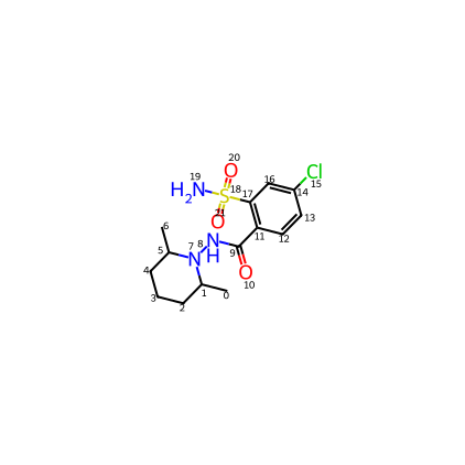 CC1CCCC(C)N1NC(=O)c1ccc(Cl)cc1S(N)(=O)=O